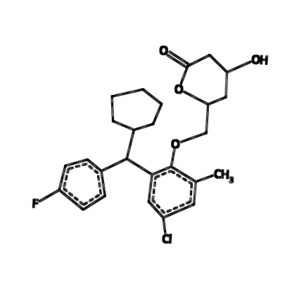 Cc1cc(Cl)cc(C(c2ccc(F)cc2)C2CCCCC2)c1OCC1CC(O)CC(=O)O1